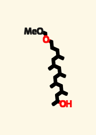 COCOCCCC(C)CC(C)CC(C)CC(C)CC(C)CC(C)O